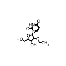 CCOC1C(n2ccc(=O)[nH]c2=O)OC(CO)[C@H]1O